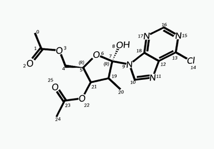 CC(=O)OC[C@H]1O[C@@](O)(n2cnc3c(Cl)ncnc32)C(C)C1OC(C)=O